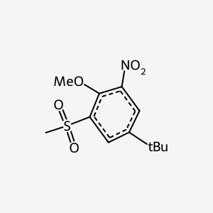 COc1c([N+](=O)[O-])cc(C(C)(C)C)cc1S(C)(=O)=O